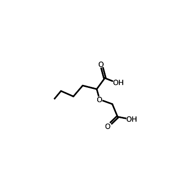 CCCCC(OCC(=O)O)C(=O)O